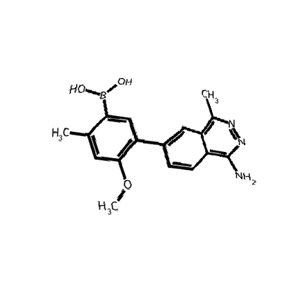 COc1cc(C)c(B(O)O)cc1-c1ccc2c(N)nnc(C)c2c1